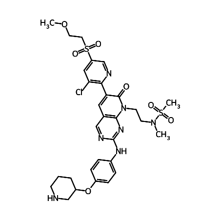 COCCS(=O)(=O)c1cnc(-c2cc3cnc(Nc4ccc(OC5CCCNC5)cc4)nc3n(CCN(C)S(C)(=O)=O)c2=O)c(Cl)c1